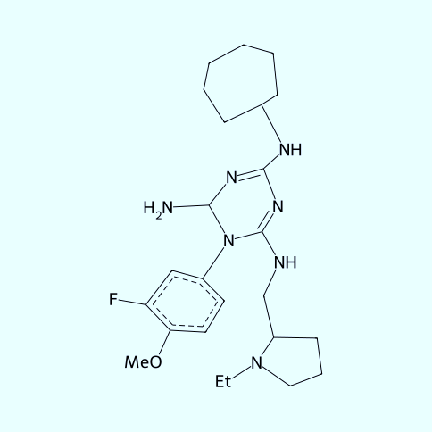 CCN1CCCC1CNC1=NC(NC2CCCCCC2)=NC(N)N1c1ccc(OC)c(F)c1